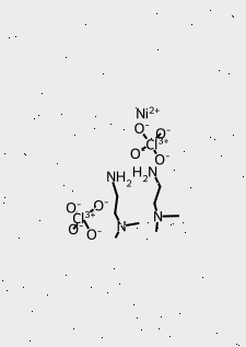 CN(C)CCN.CN(C)CCN.[Ni+2].[O-][Cl+3]([O-])([O-])[O-].[O-][Cl+3]([O-])([O-])[O-]